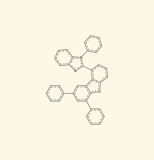 c1ccc(-c2cc(-c3ccccc3)c3oc4cccc(-c5nc6ccccc6n5-c5ccccc5)c4c3c2)cc1